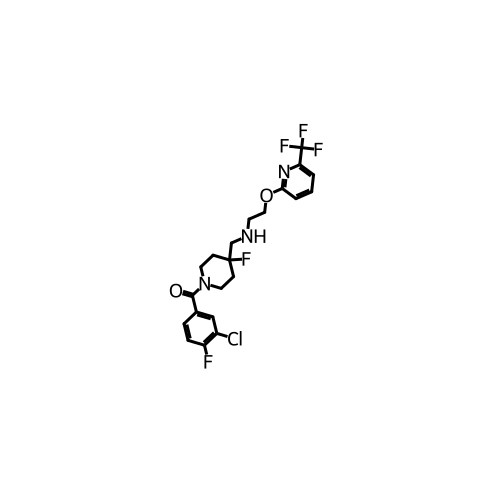 O=C(c1ccc(F)c(Cl)c1)N1CCC(F)(CNCCOc2cccc(C(F)(F)F)n2)CC1